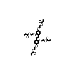 C=CC(=O)O/C=C/Oc1ccc(/C=C/c2ccc(O/C=C/OC(=O)C=C)cc2O/C=C/OC(=O)C=C)c(O/C=C/OC(=O)C=C)c1